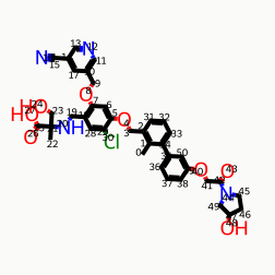 Cc1c(COc2cc(OCc3cncc(C#N)c3)c(CNC(C)(CO)C(=O)O)cc2Cl)cccc1-c1cccc(OCC(=O)N2CCC(O)C2)c1